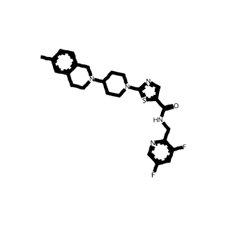 Cc1ccc2c(c1)CCN(C1CCN(c3ncc(C(=O)NCc4ncc(F)cc4F)s3)CC1)C2